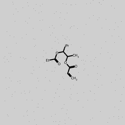 C=CC(=O)OC(C)C(OC(=O)CC)C(C)C